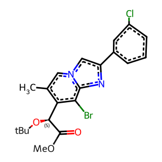 COC(=O)[C@@H](OC(C)(C)C)c1c(C)cn2cc(-c3cccc(Cl)c3)nc2c1Br